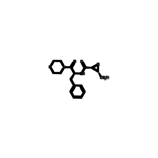 CCOC(=O)[C@H]1O[C@@H]1C(=O)N[C@@H](Cc1ccccc1)C(=O)N1CCOCC1